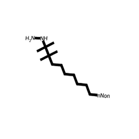 CCCCCCCCCCCCCCCCC(C)(C)C(C)(C)NN